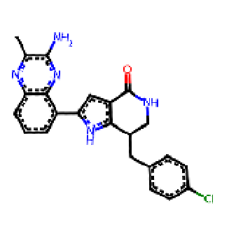 Cc1nc2cccc(-c3cc4c([nH]3)C(Cc3ccc(Cl)cc3)CNC4=O)c2nc1N